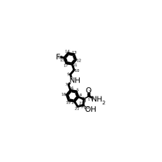 NC(=O)[C@@H]1c2cc(CNCCc3cccc(F)c3)ccc2C[C@H]1O